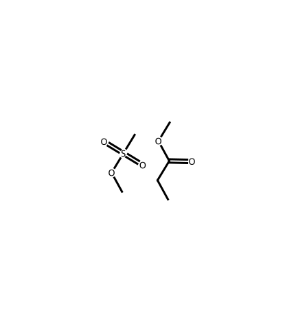 CCC(=O)OC.COS(C)(=O)=O